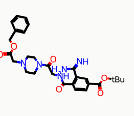 CC(C)(C)OC(=O)c1ccc(C(=O)NCC(=O)N2CCN(CC(=O)OCc3ccccc3)CC2)c(C(=N)N)c1